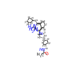 CC(=O)NCc1ccc(C2CCN(/C(N)=c3\cccc\c3=C(\N)Cc3ccccc3)CC2)cc1